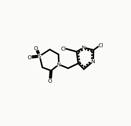 O=C1CS(=O)(=O)CCN1Cc1cnc(Cl)nc1Cl